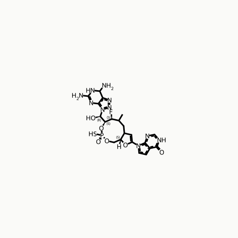 CC1CC2C=C(n3ccc4c(=O)[nH]cnc43)O[C@@H]2COP(=O)(S)O[C@@H]([C@@H](O)n2nnc3c2N=C(N)NC3N)[C@H]1F